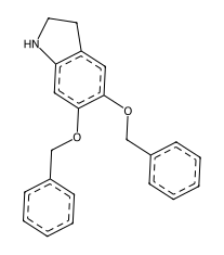 c1ccc(COc2cc3c(cc2OCc2ccccc2)NCC3)cc1